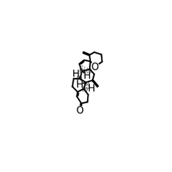 C=C1C[C@@]2(C)[C@@H](C=CC23OCCCC3=C)[C@@H]2CCC3=CC(=O)CC[C@@H]3[C@@H]12